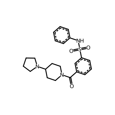 O=C(c1cccc(S(=O)(=O)Nc2ccccc2)c1)N1CCC(N2CCCC2)CC1